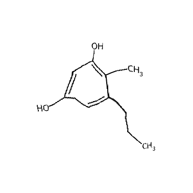 CCCc1cc(O)cc(O)c1C